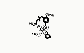 COc1ccc(S(=O)(=O)N(Cc2ccccc2)[C@H](NC(=O)O)[C@@H](C)O)cc1CC(C)(C)CCC#N